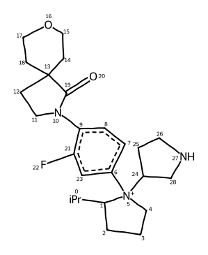 CC(C)C1CCC[N+]1(c1ccc(N2CCC3(CCOCC3)C2=O)c(F)c1)C1CCNC1